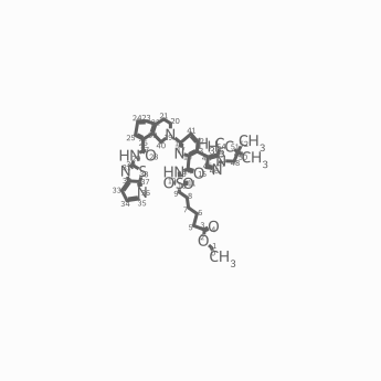 CCOC(=O)CCCCCS(=O)(=O)NC(=O)c1nc(N2CCc3cccc(C(=O)Nc4nc5cccnc5s4)c3C2)ccc1-c1cnn(CC(C)(C)C)c1C